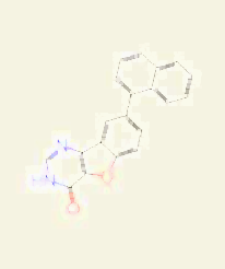 O=c1[nH]cnc2c1oc1ccc(-c3cccc4ccccc34)cc12